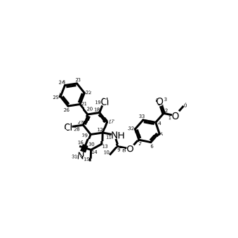 COC(=O)c1ccc(OC(C)NC2(CC(C)C)C=C(Cl)C(c3ccccc3)=C(Cl)C2C#N)cc1